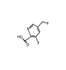 O=C(O)c1ncc(CF)cc1F